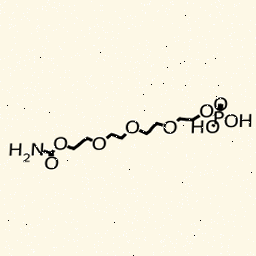 NC(=O)OCCOCCOCCOCCOP(=O)(O)O